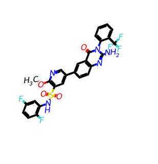 COc1ncc(-c2ccc3nc(N)n(-c4ccccc4C(F)(F)F)c(=O)c3c2)cc1S(=O)(=O)Nc1cc(F)ccc1F